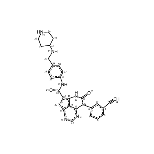 C#Cc1cccc(N2C(=O)Nc3c(C(=O)Nc4ccc(CNC5CCNCC5)cc4)sc4ncnc2c34)c1